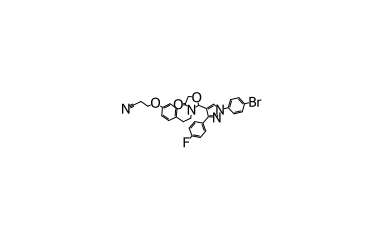 N#CCCOc1ccc(CCN2C(=O)COC2c2cn(-c3ccc(Br)cc3)nc2-c2ccc(F)cc2)cc1